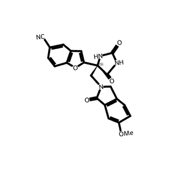 COc1ccc2c(c1)C(=O)N(C[C@@]1(c3cc4cc(C#N)ccc4o3)NC(=O)NC1=O)C2